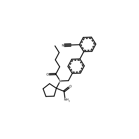 CCCCC(=O)N(Cc1ccc(-c2ccccc2C#N)cc1)C1(C(N)=O)CCCC1